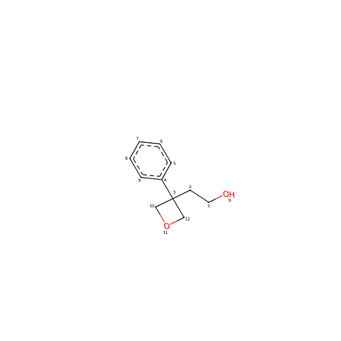 OCCC1(c2ccccc2)COC1